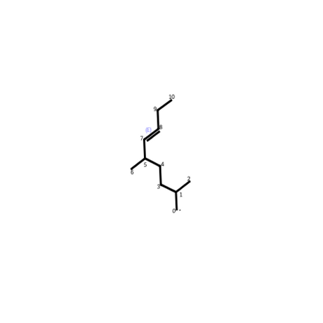 [CH2]C(C)CCC(C)/C=C/CC